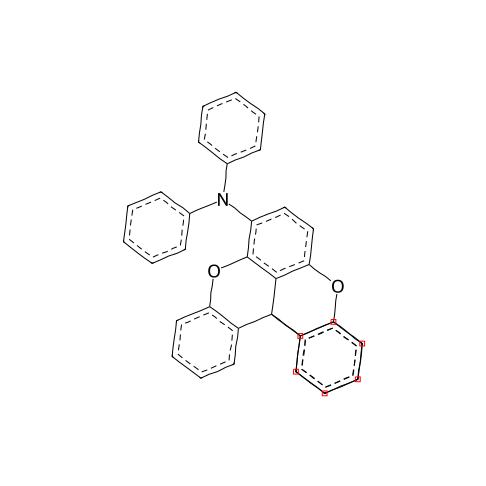 c1ccc(N(c2ccccc2)c2ccc3c4c2Oc2ccccc2C4(c2ccccc2)c2ccccc2O3)cc1